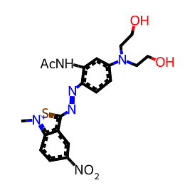 CC(=O)Nc1cc(N(CCO)CCO)ccc1N=Nc1s[n+](C)c2ccc([N+](=O)[O-])cc12